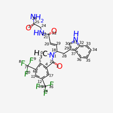 CN(C(=O)c1cc(C(F)(F)F)cc(C(F)(F)F)c1)C(C=CC(=O)NCC(N)=O)Cc1c[nH]c2ccccc12